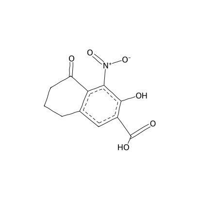 O=C(O)c1cc2c(c([N+](=O)[O-])c1O)C(=O)CCC2